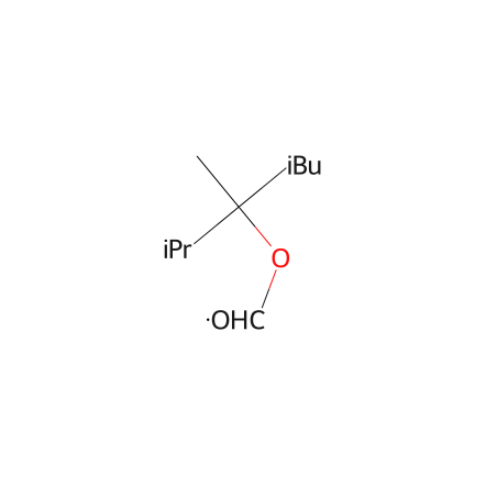 CCC(C)C(C)(O[C]=O)C(C)C